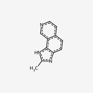 Cc1nc2ccc3ccncc3c2[nH]1